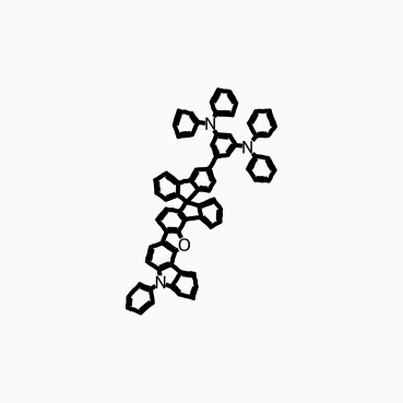 c1ccc(N(c2ccccc2)c2cc(-c3ccc4c(c3)-c3ccccc3C43c4ccccc4-c4c3ccc3c4oc4c3ccc3c4c4ccccc4n3-c3ccccc3)cc(N(c3ccccc3)c3ccccc3)c2)cc1